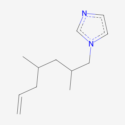 C=CCC(C)CC(C)Cn1ccnc1